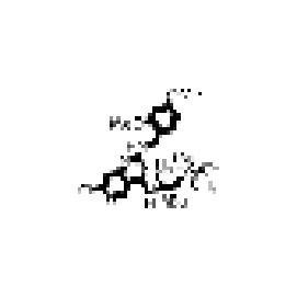 CCCC[C@](C)(CO[Si](C)(C)C(C)(C)C)Nc1nc(NCc2ccc(OC)cc2OC)nc2cc(Cl)ncc12